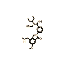 CCC(CC)N(C=N)C(=N)c1cccc(N2Cc3c(CNC)cc(OC)cc3C2=O)n1